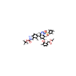 CCOC(=O)Cc1ccccc1OCc1cc(-c2cccc(CNC(=O)OC(C)(C)C)c2C)c2cnn(S(=O)(=O)c3ccc(C)cc3)c2c1